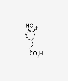 O=C(O)CCc1ccc([N+](=O)[O-])c(F)c1